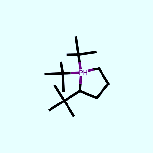 CC(C)(C)C1CCC[PH]1(C(C)(C)C)C(C)(C)C